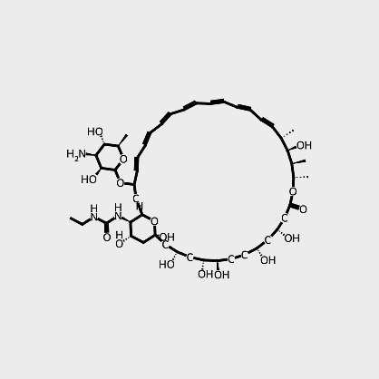 CCNC(=O)N[C@H]1[C@@H]2CC(OC3O[C@H](C)[C@@H](O)[C@H](N)[C@@H]3O)/C=C/C=C/C=C/C=C/C=C/C=C/C=C/[C@H](C)[C@@H](O)[C@@H](C)[C@H](C)OC(=O)C[C@H](O)C[C@H](O)CC[C@@H](O)[C@H](O)C[C@H](O)C[C@](O)(C[C@@H]1O)O2